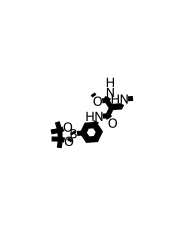 CN/C=C(\C(=N)OC)C(=O)Nc1cccc(B2OC(C)(C)C(C)(C)O2)c1